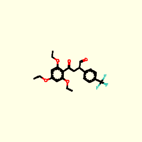 CCOc1cc(OCC)c(C(=O)CC(C=O)c2ccc(C(F)(F)F)cc2)c(OCC)c1